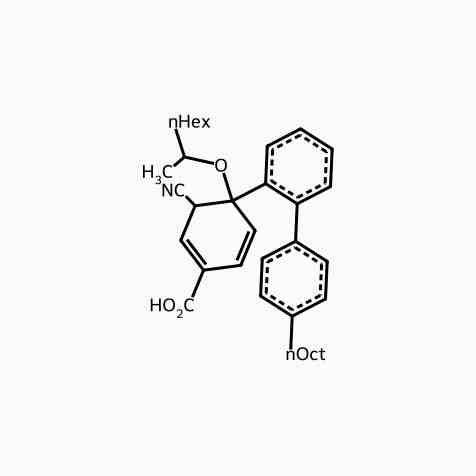 CCCCCCCCc1ccc(-c2ccccc2C2(OC(C)CCCCCC)C=CC(C(=O)O)=CC2C#N)cc1